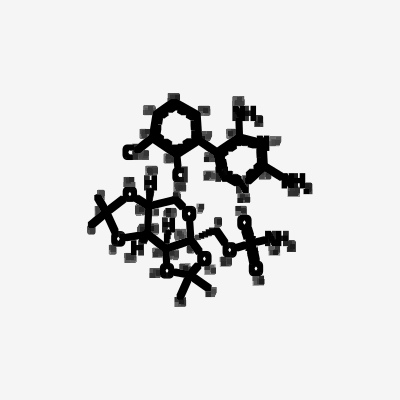 CC1(C)O[C@@H]2[C@@H](CO[C@@]3(COS(N)(=O)=O)OC(C)(C)O[C@@H]23)O1.Nc1nnc(-c2cccc(Cl)c2Cl)c(N)n1